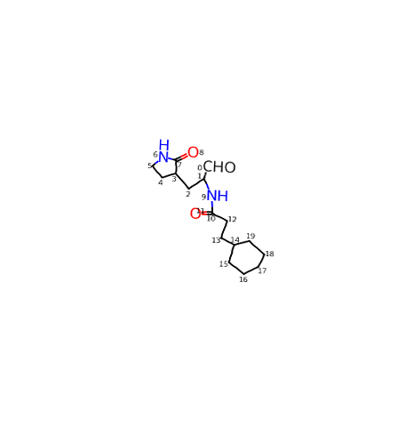 O=CC(CC1CCNC1=O)NC(=O)CCC1CCCCC1